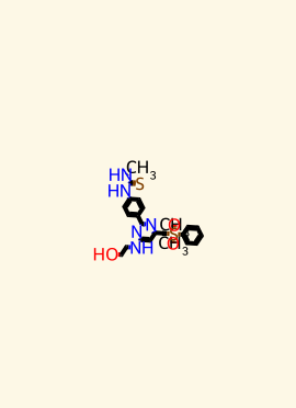 CNC(=S)Nc1ccc(-c2nc(NCCO)cc(C(C)(C)S(=O)(=O)c3ccccc3)n2)cc1